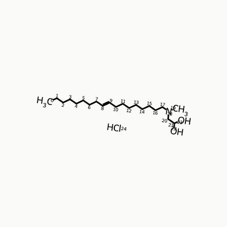 CCCCCCCCC=CCCCCCCCCN(C)CC(O)O.Cl